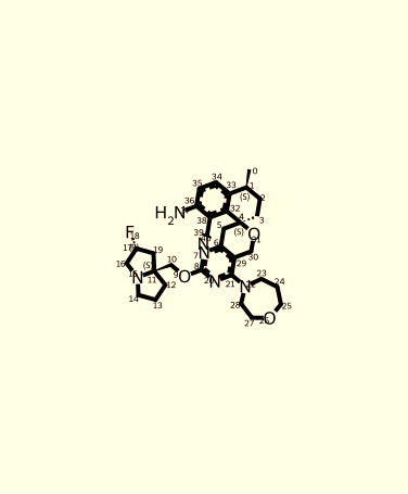 C[C@H]1CC[C@]2(Cc3nc(OC[C@@]45CCCN4C[C@H](F)C5)nc(N4CCCOCC4)c3CO2)c2c1ccc(N)c2C#N